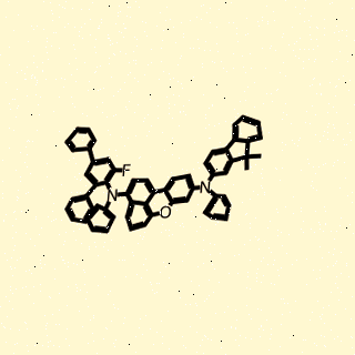 CC1(C)c2ccccc2-c2ccc(N(c3ccccc3)c3ccc4c(c3)Oc3cccc5c(N(c6ccccc6)c6c(F)cc(-c7ccccc7)cc6-c6ccccc6)ccc-4c35)cc21